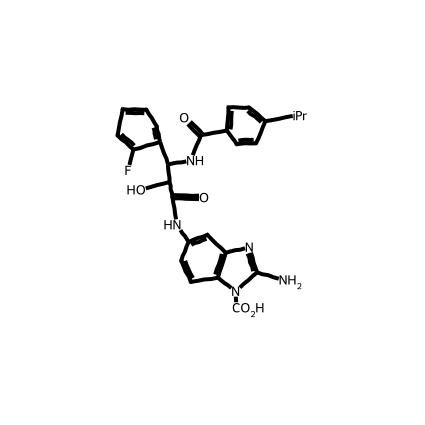 CC(C)c1ccc(C(=O)NC(c2ccccc2F)C(O)C(=O)Nc2ccc3c(c2)nc(N)n3C(=O)O)cc1